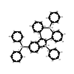 c1ccc(B(c2ccccc2)c2ccc3c(c2)c2c(n3-c3ccccc3)-c3ccccc3N(c3ccccc3)c3ccccc3-2)cc1